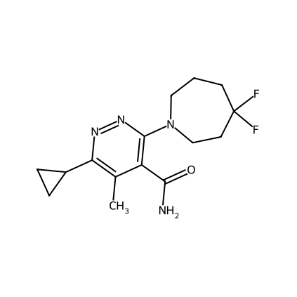 Cc1c(C2CC2)nnc(N2CCCC(F)(F)CC2)c1C(N)=O